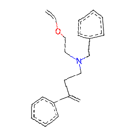 C=COCCN(CCC(=C)c1ccccc1)Cc1ccccc1